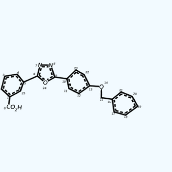 O=C(O)c1cccc(-c2nnc(-c3ccc(OCc4ccccc4)cc3)o2)c1